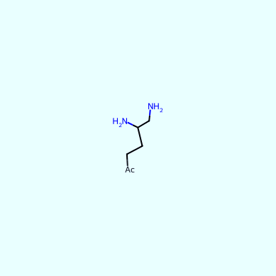 CC(=O)CCC(N)CN